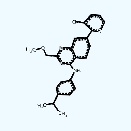 COCc1nc(Nc2ccc(C(C)C)cc2)c2ccc(-c3ncccc3Cl)cc2n1